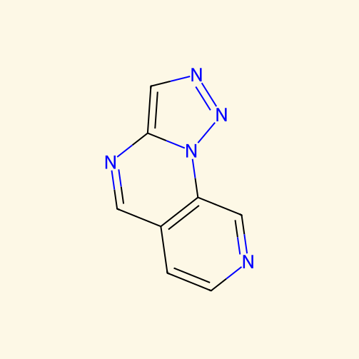 c1cc2cnc3cnnn3c2cn1